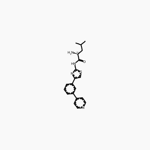 CC(C)C[C@H](N)C(=O)Nc1nc(-c2cccc(-c3ccncc3)c2)cs1